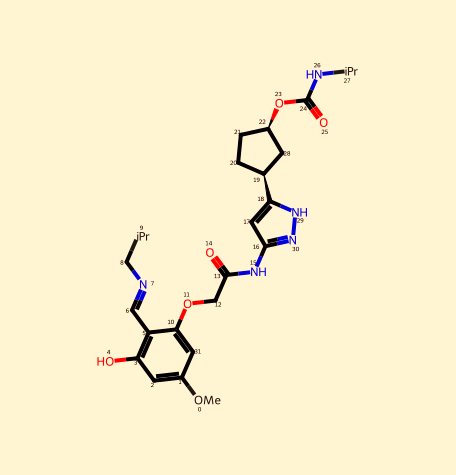 COc1cc(O)c(/C=N/CC(C)C)c(OCC(=O)Nc2cc([C@H]3CC[C@@H](OC(=O)NC(C)C)C3)[nH]n2)c1